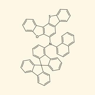 c1ccc2c(c1)-c1ccccc1C21c2ccccc2-c2c(N(c3cccc4ccccc34)c3cc4c5ccccc5sc4c4c3oc3ccccc34)cccc21